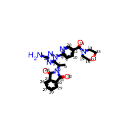 CC(c1nc(N)nn1-c1ccc(C(=O)N2CCOCC2)cn1)N1C(=O)c2ccccc2C1=O